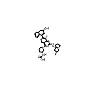 O=C(O)N[C@@H]1CCCN(c2nc(OC[C@@]34CCCN3C[C@H](F)C4)nc3c(F)c(-c4cc(O)cc5ccccc45)ncc23)C1